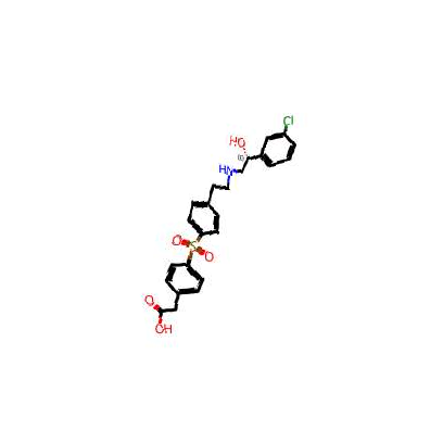 O=C(O)Cc1ccc(S(=O)(=O)c2ccc(CCNC[C@H](O)c3cccc(Cl)c3)cc2)cc1